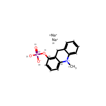 CN1c2ccccc2Cc2c(OP(=O)([O-])[O-])cccc21.[Na+].[Na+]